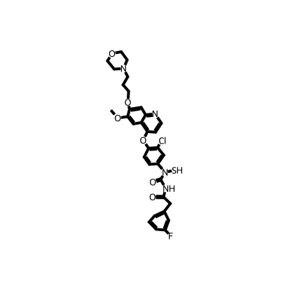 COc1cc2c(Oc3ccc(N(S)C(=O)NC(=O)Cc4cccc(F)c4)cc3Cl)ccnc2cc1OCCCN1CCOCC1